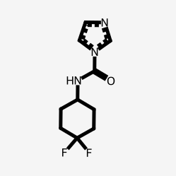 O=C(NC1CCC(F)(F)CC1)n1ccnc1